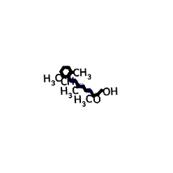 CC1=C(/C=C/C(C)=C/C=C/C2(C)OC2CO)C(C)(C)CCC1